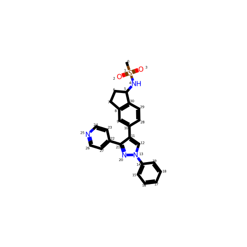 CS(=O)(=O)NC1CCc2cc(-c3cn(-c4ccccc4)nc3-c3ccncc3)ccc21